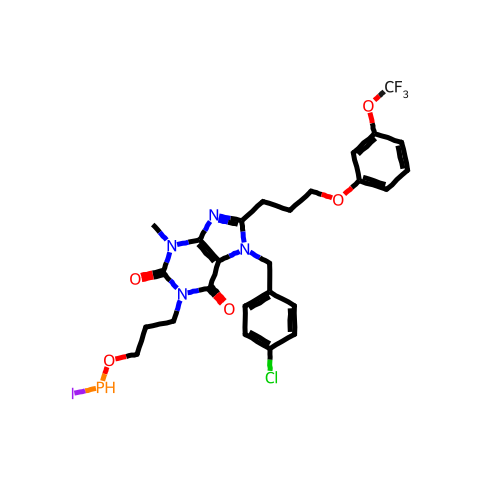 Cn1c(=O)n(CCCOPI)c(=O)c2c1nc(CCCOc1cccc(OC(F)(F)F)c1)n2Cc1ccc(Cl)cc1